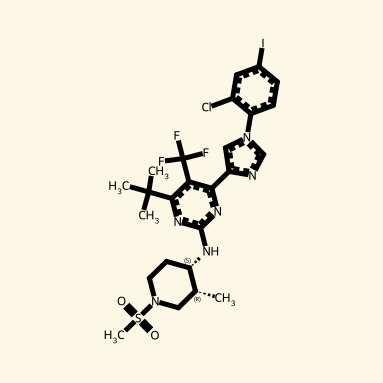 C[C@@H]1CN(S(C)(=O)=O)CC[C@@H]1Nc1nc(-c2cn(-c3ccc(I)cc3Cl)cn2)c(C(F)(F)F)c(C(C)(C)C)n1